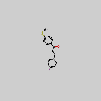 CCCCCCCCSc1ccc(C(=O)C=Cc2ccc(I)cc2)cc1